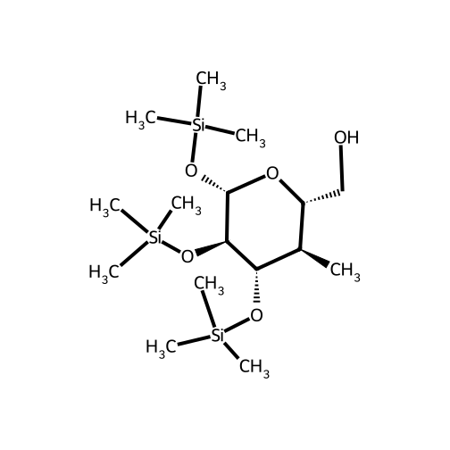 C[C@H]1[C@H](O[Si](C)(C)C)[C@@H](O[Si](C)(C)C)[C@H](O[Si](C)(C)C)O[C@@H]1CO